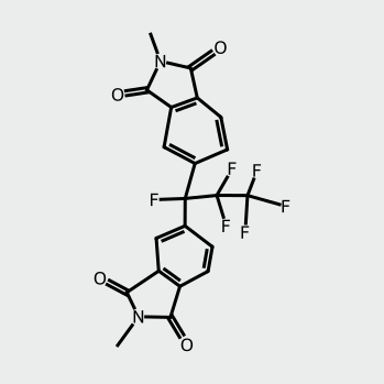 CN1C(=O)c2ccc(C(F)(c3ccc4c(c3)C(=O)N(C)C4=O)C(F)(F)C(F)(F)F)cc2C1=O